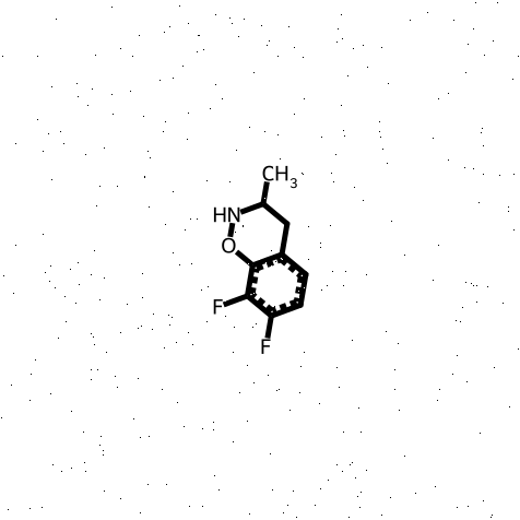 CC1Cc2ccc(F)c(F)c2ON1